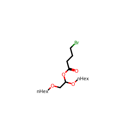 CCCCCCOCC(OCCCCCC)OC(=O)CCCBr